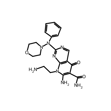 NCCn1c(N)c(C(N)=O)c(=O)c2cnc(N(c3ccccc3)N3CCOCC3)nc21